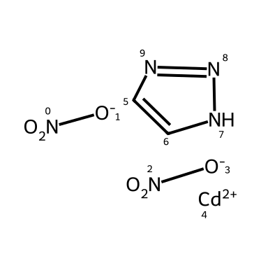 O=[N+]([O-])[O-].O=[N+]([O-])[O-].[Cd+2].c1c[nH]nn1